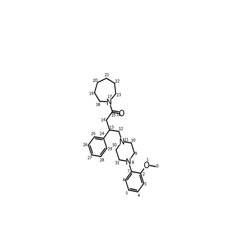 COc1ccccc1N1CCN(CC(CC(=O)N2CCCCCC2)c2ccccc2)CC1